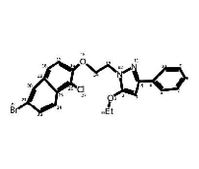 CCOc1cc(-c2ccccc2)nn1CCOc1ccc2cc(Br)ccc2c1Cl